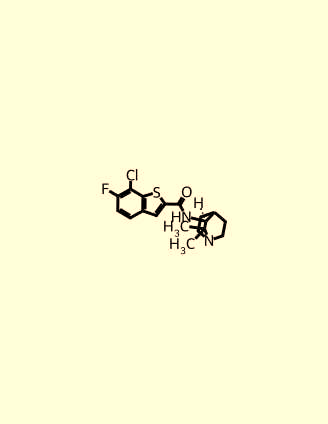 CC1(C)[C@@H](NC(=O)c2cc3ccc(F)c(Cl)c3s2)C2CCN1CC2